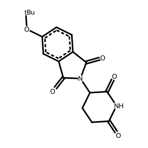 CC(C)(C)Oc1ccc2c(c1)C(=O)N(C1CCC(=O)NC1=O)C2=O